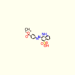 CCOC(=O)c1ccc(/N=N/c2cc(S(=O)(=O)O)c3ccccc3c2N)cc1